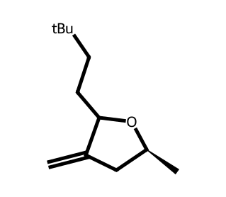 C=C1C[C@H](C)OC1CCC(C)(C)C